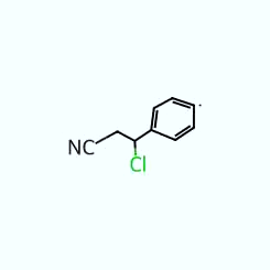 N#CCC(Cl)c1cc[c]cc1